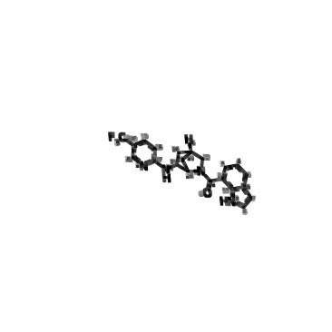 O=C(c1cccc2cc[nH]c12)N1C[C@H]2CC(Nc3ccc(C(F)(F)F)cn3)C1C2